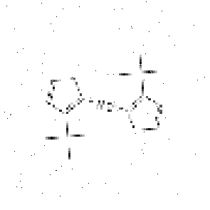 CC(C)(C)C1=[C]([Mg][C]2=C(C(C)(C)C)C=CC2)CC=C1